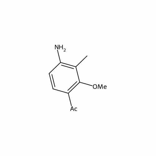 COc1c(C(C)=O)ccc(N)c1C